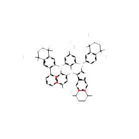 Cc1cc2c3c(c1)N(c1ccc4c(c1)C(C)(C)CCC4(C)C)c1sc4cc5c(cc4c1B3c1cc(C(C)(C)C)ccc1N2c1cc2c(cc1-c1ccccc1)C(C)(C)CCC2(C)C)C1(C)CCC5(C)CC1